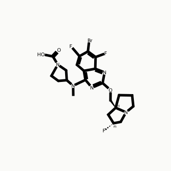 CN(c1nc(OC[C@@]23CCCN2C[C@H](F)C3)nc2c(F)c(Br)c(F)cc12)C1CCN(C(=O)O)C1